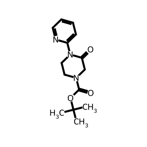 CC(C)(C)OC(=O)N1CCN(c2ccccn2)C(=O)C1